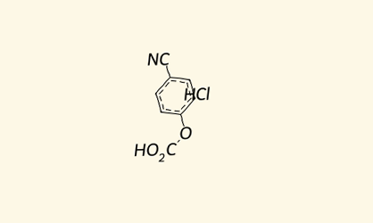 Cl.N#Cc1ccc(OC(=O)O)cc1